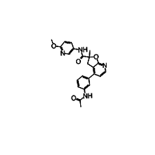 COc1ccc(NC(=O)C2(C)Cc3c(-c4cccc(NC(C)=O)c4)ccnc3O2)cn1